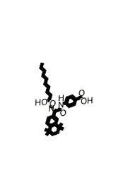 CCCCCCCCCC(O)ON=C(C(=O)Nc1ccc(C(=O)O)cc1)c1ccc2c(c1)C(C)(C)CCC2(C)C